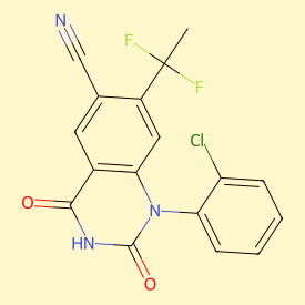 CC(F)(F)c1cc2c(cc1C#N)c(=O)[nH]c(=O)n2-c1ccccc1Cl